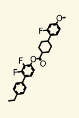 CCc1ccc(-c2ccc(OC(=O)C3CCC(c4ccc(OC)cc4F)CC3)c(F)c2F)cc1